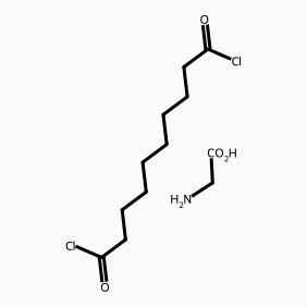 NCC(=O)O.O=C(Cl)CCCCCCCCC(=O)Cl